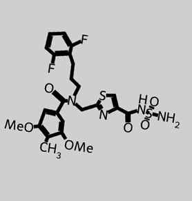 COc1cc(C(=O)N(CCCc2c(F)cccc2F)Cc2nc(C(=O)NS(N)(=O)=O)cs2)cc(OC)c1C